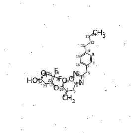 C=C(Cc1nc(Cc2ccc(CCCC)cc2)no1)C(=O)O[C@@H](CC(=O)O)C(F)(F)F